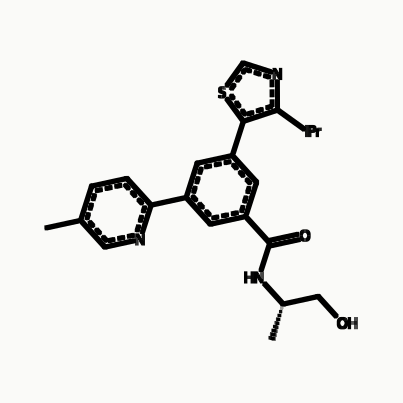 Cc1ccc(-c2cc(C(=O)N[C@@H](C)CO)cc(-c3scnc3C(C)C)c2)nc1